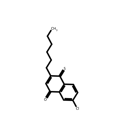 CCCCCCC1=CC(=O)c2cc(Cl)ccc2C1=S